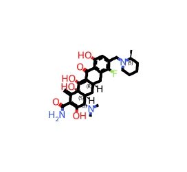 C=C1C(C(N)=O)=C(O)[C@@H](N(C)C)[C@@H]2C[C@@H]3Cc4c(F)c(CN5CCCC[C@@H]5C)cc(O)c4C(=O)C3=C(O)[C@]12O